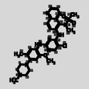 COc1cc(N2CCN(C)CC2)c(C)cc1Nc1ncc(Cl)c(Nc2ccc3nccnc3c2N(C)S(C)(=O)=O)n1